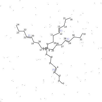 CCC/C=C/CCC[PH](CCC/C=C/CCC)(CCC/C=C/CCC)CCC/C=C/CCC